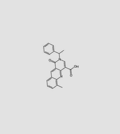 Cc1cccc2cc3c(=O)n(C(C)c4ccccc4)cc(C(=O)O)c3nc12